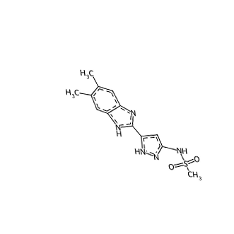 Cc1cc2nc(-c3cc(NS(C)(=O)=O)n[nH]3)[nH]c2cc1C